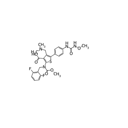 CONC(=O)Nc1ccc(-c2sc(N(Cc3c(F)cccc3F)C(=O)OC)c(C(=O)O)c2CN(C)C)cc1